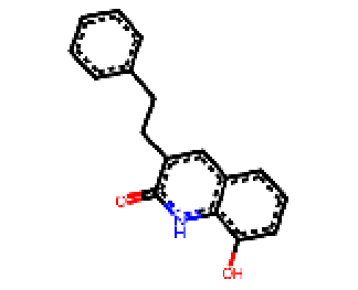 O=c1[nH]c2c(O)cccc2cc1CCc1ccccc1